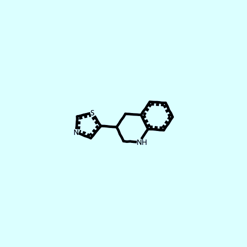 c1ccc2c(c1)CC(c1cncs1)CN2